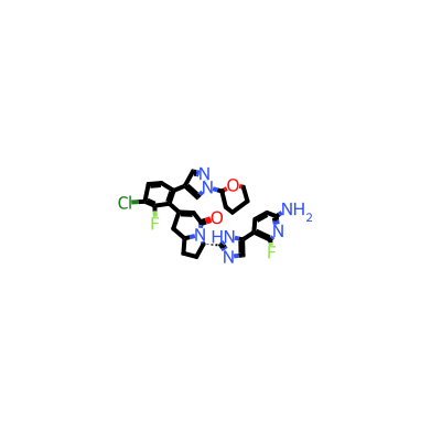 Nc1ccc(-c2cnc([C@@H]3CCC4CC(c5c(-c6cnn(C7CCCCO7)c6)ccc(Cl)c5F)=CC(=O)N43)[nH]2)c(F)n1